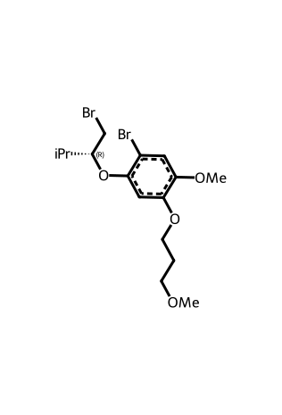 COCCCOc1cc(O[C@@H](CBr)C(C)C)c(Br)cc1OC